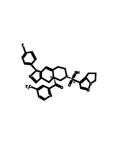 N=[S@](=O)(c1cnn2c1CCC2)N1CCC2=Cc3c(cnn3-c3ccc(F)cc3)C[C@]2(C(=O)c2cc(C(F)(F)F)ccn2)C1